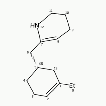 CCC1=CCC[C@H](CC2=CCCCN2)C1